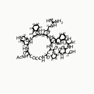 CC(=O)N[C@H]1CCCCNC(=O)C[C@@H](C(=O)N2CCC[C@H]2C(=O)N[C@@H](CO)C(=O)N[C@@H](CO)C(C)=O)NC(=O)[C@H](Cc2c[nH]c3ccccc23)NC(=O)[C@H](CCCNC(=N)N)NC(=O)[C@@H](Cc2ccccc2)NC(=O)[C@H](Cc2c[nH]cn2)NC1=O